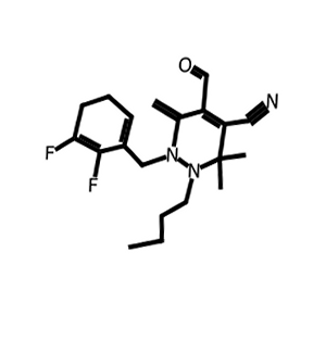 C=C1C(C=O)=C(C#N)C(C)(C)N(CCCC)N1CC1=CCCC(F)=C1F